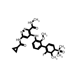 CNC(=O)c1nnc(NC(=O)C2CC2)cc1Nc1cccc(C2=C(F)C(C)C(P(C)(C)=O)C=C2)c1OC